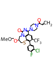 C=CC(=O)N1CCN(c2nc(=O)n3c4c(c(-c5ccc(F)c(Cl)c5)c(C(F)(F)F)cc24)SCC(OCOC)C3)CC1